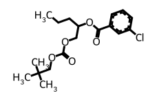 CCCC(COC(=O)OCC(C)(C)C)OC(=O)c1cccc(Cl)c1